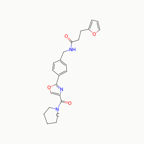 O=C(CCc1ccco1)NCc1ccc(-c2nc(C(=O)N3CCCCC3)co2)cc1